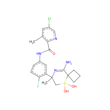 Cc1cc(Cl)cnc1C(=O)Nc1ccc(F)c(C2(C)CS(O)(O)C3(CCC3)C(N)=N2)c1